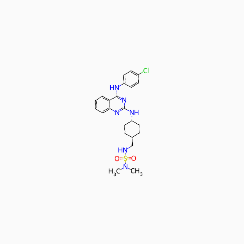 CN(C)S(=O)(=O)NC[C@H]1CC[C@H](Nc2nc(Nc3ccc(Cl)cc3)c3ccccc3n2)CC1